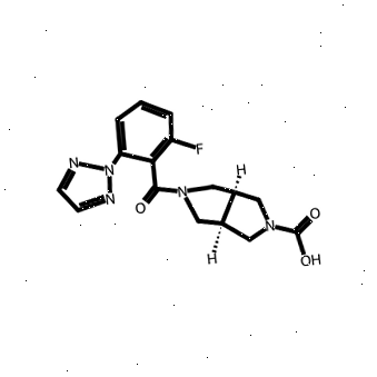 O=C(O)N1C[C@@H]2CN(C(=O)c3c(F)cccc3-n3nccn3)C[C@@H]2C1